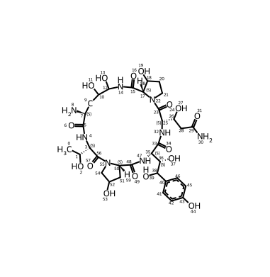 CC(O)[C@@H]1NC(=O)[C@@H](N)CC(O)C(O)NC(=O)[C@@H]2C(O)CCN2C(=O)[C@H](C(O)CC(N)=O)NC(=O)[C@H]([C@H](O)C(O)c2ccc(O)cc2)NC(=O)[C@@H]2CC(O)CN2C1=O